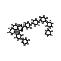 c1ccc(-c2cccc(-c3cccc(-c4ccc(-c5ccc(-c6nc(-c7cccc(-c8ccccc8)c7)c7c(ccc8ccccc87)n6)cc5)cc4)c3)c2)cc1